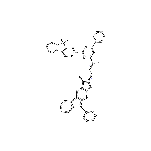 C=c1/c(=C\C=C(/C)c2nc(-c3ccccc3)nc(-c3ccc4c(c3)C(C)(C)c3ccccc3-4)n2)oc2cc3c(cc12)c1ccccc1n3-c1ccccc1